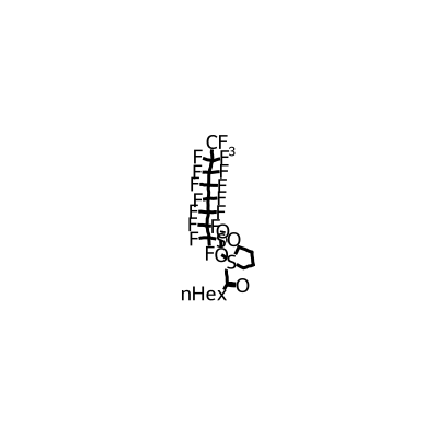 CCCCCCC(=O)CS1(OS(=O)(=O)C(F)(F)C(F)(F)C(F)(F)C(F)(F)C(F)(F)C(F)(F)C(F)(F)C(F)(F)F)CCCC1